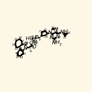 C[C@@H](C(=O)OP(=O)(O)OC[C@@H]1C=C[C@H](n2cnc3c(NC4CC4)nc(N)nc32)C1)N(OC1CCCCCC1)c1ccccc1